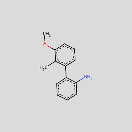 COc1cccc(-c2ccccc2N)c1C